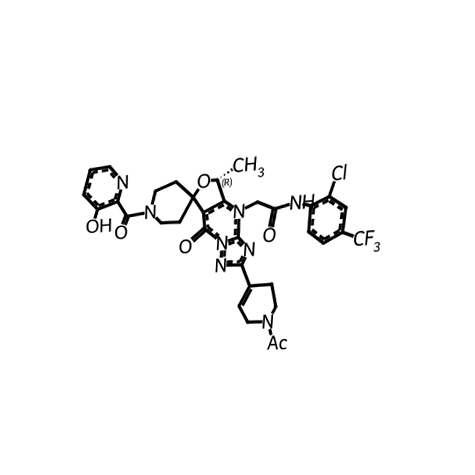 CC(=O)N1CC=C(c2nc3n(CC(=O)Nc4ccc(C(F)(F)F)cc4Cl)c4c(c(=O)n3n2)C2(CCN(C(=O)c3ncccc3O)CC2)O[C@@H]4C)CC1